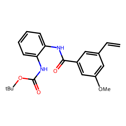 C=Cc1cc(OC)cc(C(=O)Nc2ccccc2NC(=O)OC(C)(C)C)c1